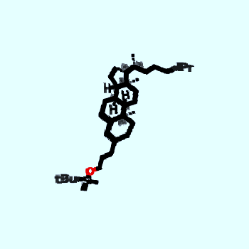 CC(C)CCC[C@@H](C)[C@H]1CC[C@H]2[C@@H]3CCC4CC(CCCO[Si](C)(C)C(C)(C)C)CC[C@]4(C)[C@H]3CC[C@]12C